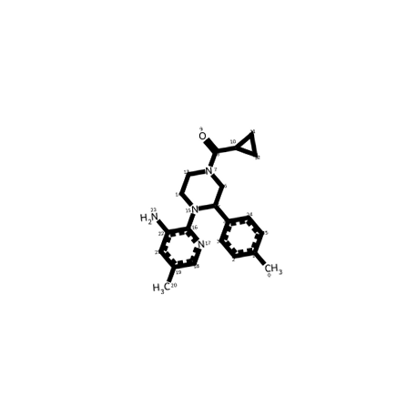 Cc1ccc(C2CN(C(=O)C3CC3)CCN2c2ncc(C)cc2N)cc1